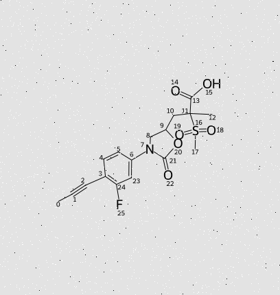 CC#Cc1ccc(N2CC(CC(C)(C(=O)O)S(C)(=O)=O)OC2=O)cc1F